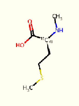 CN[11C@@H](CCSC)C(=O)O